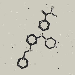 CCN(CC)C(=O)c1ccc([C@@H](c2cccc(NCc3ccccc3)c2)N2CCNCC2)cc1